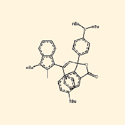 CCCCc1ccc(/C(=C\C2(c3ccc(N(CCCC)CCCC)cc3)OC(=O)c3ccccc32)c2c(C)n(CCCC)c3ccccc23)cc1